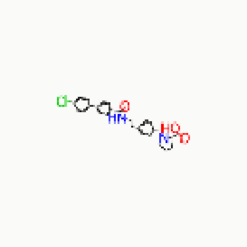 O=C(NCCc1ccc(CN2CCCC2C(=O)O)cc1)c1ccc(-c2ccc(Cl)cc2)cc1